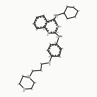 c1ccc2c(NC3CCCCC3)nc(Nc3ccc(OCCCN4CCOCC4)cc3)nc2c1